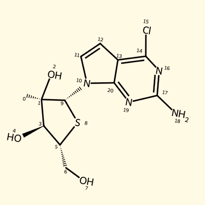 C[C@@]1(O)[C@H](O)[C@@H](CO)S[C@H]1n1ccc2c(Cl)nc(N)nc21